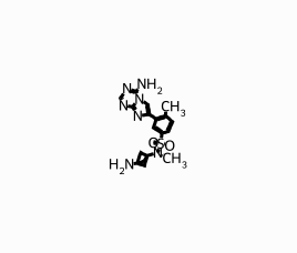 Cc1ccc(S(=O)(=O)N(C)C23CC(N)(C2)C3)cc1-c1cn2c(N)ncnc2n1